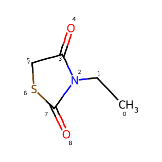 CCN1C(=O)[CH]SC1=O